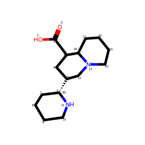 O=C(O)C1CC([C@H]2CCCCN2)CN2CCCCC12